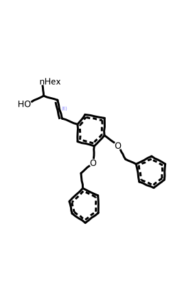 CCCCCCC(O)/C=C/c1ccc(OCc2ccccc2)c(OCc2ccccc2)c1